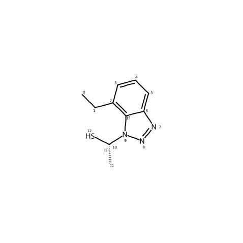 CCc1cccc2nnn([C@H](C)S)c12